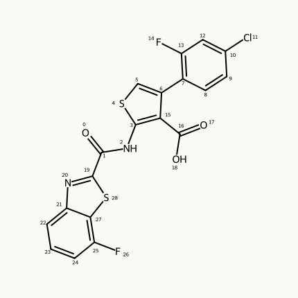 O=C(Nc1scc(-c2ccc(Cl)cc2F)c1C(=O)O)c1nc2cccc(F)c2s1